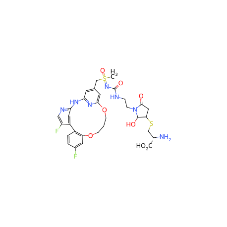 CS(=O)(Cc1cc2nc(c1)OCCCOc1cc(F)ccc1-c1cc(ncc1F)N2)=NC(=O)NCCN1C(=O)CC(SC[C@H](N)C(=O)O)C1O